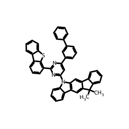 CC1(C)c2ccccc2-c2cc3c(cc21)c1ccccc1n3-c1cc(-c2cccc(-c3ccccc3)c2)nc(-c2cccc3c2sc2ccccc23)n1